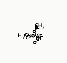 COC(=O)CCN1CCC(CCN(C(=O)C(F)(F)F)[C@@H]2C[C@H]2c2ccccc2)(Cc2cccc(-c3cnn(C)c3)c2)CC1